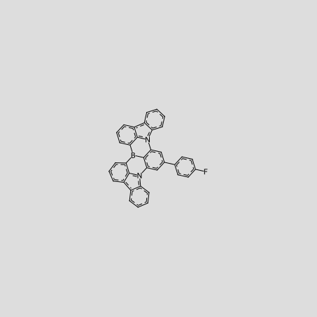 Fc1ccc(-c2cc3c4c(c2)-n2c5ccccc5c5cccc(c52)B4c2cccc4c5ccccc5n-3c24)cc1